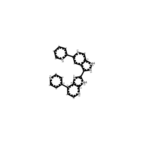 c1ccc(-c2cc3c(-c4nc5c(-c6ccncc6)ccnc5[nH]4)n[nH]c3cn2)nc1